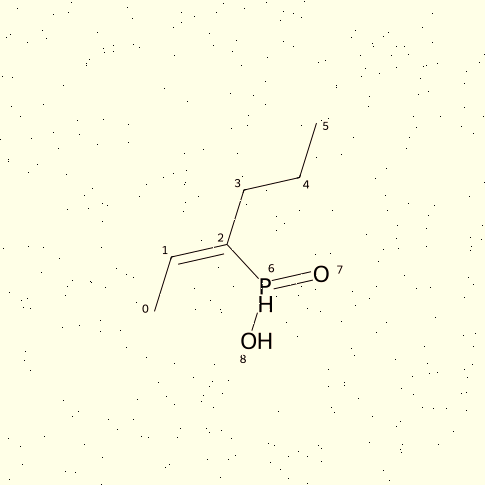 CC=C(CCC)[PH](=O)O